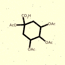 CC(=O)OC1CC(OC(C)=O)(C(=O)O)CC(OC(C)=O)C1OC(C)=O